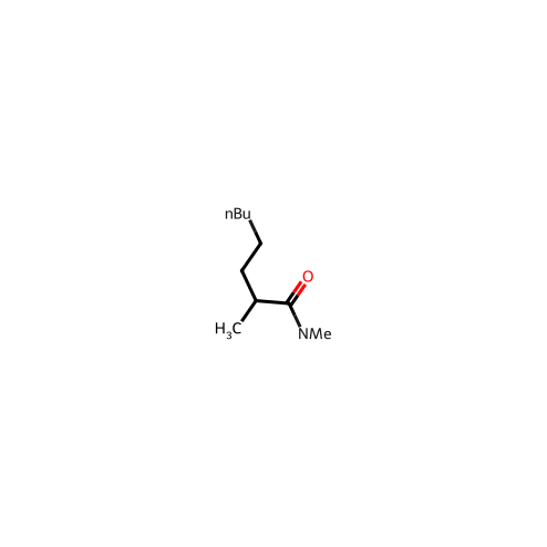 [CH2]CCCCCC(C)C(=O)NC